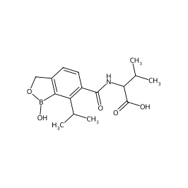 CC(C)c1c(C(=O)NC(C(=O)O)C(C)C)ccc2c1B(O)OC2